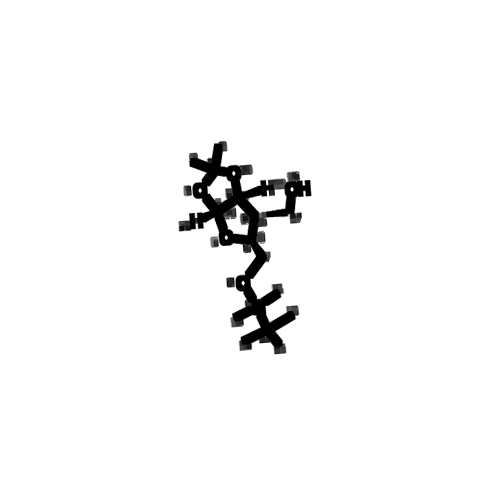 CC1(C)O[C@H]2O[C@H](CO[Si](C)(C)C(C)(C)C)[C@@H](CO)[C@H]2O1